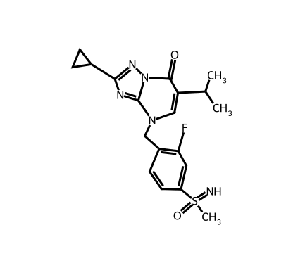 CC(C)c1cn(Cc2ccc(S(C)(=N)=O)cc2F)c2nc(C3CC3)nn2c1=O